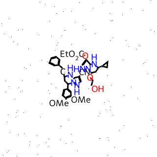 CCOC(=O)OC1=CNN2C(OCCO)CC(C3CC3)NC12.COc1ccc(C2CC(CCc3ccccc3)NC3C(C#N)=CNN32)cc1OC